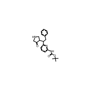 CC(C)(C)OC(=O)Nc1cccc(C(Cc2ccccc2)C2CNCC2=O)n1